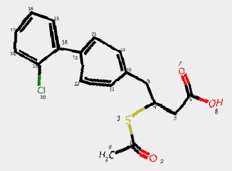 CC(=O)SC(CC(=O)O)Cc1ccc(-c2ccccc2Cl)cc1